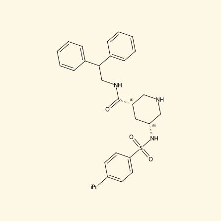 CC(C)c1ccc(S(=O)(=O)N[C@H]2CNC[C@@H](C(=O)NCC(c3ccccc3)c3ccccc3)C2)cc1